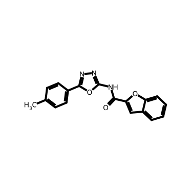 Cc1ccc(-c2nnc(NC(=O)c3cc4ccccc4o3)o2)cc1